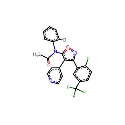 CC(=O)N(c1ccccc1Cl)c1onc(-c2cc(C(F)(F)F)ccc2F)c1-c1ccncc1